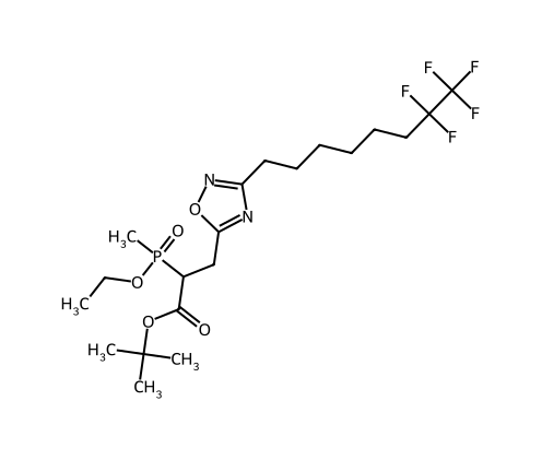 CCOP(C)(=O)C(Cc1nc(CCCCCCC(F)(F)C(F)(F)F)no1)C(=O)OC(C)(C)C